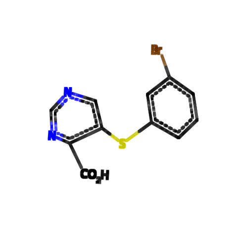 O=C(O)c1ncncc1Sc1cccc(Br)c1